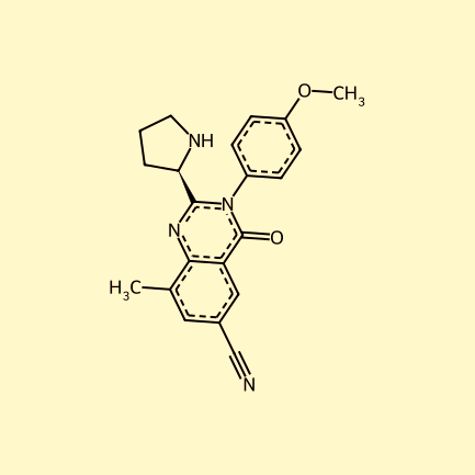 COc1ccc(-n2c([C@H]3CCCN3)nc3c(C)cc(C#N)cc3c2=O)cc1